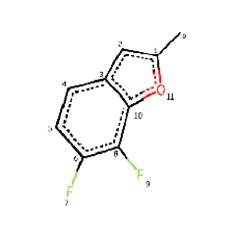 Cc1cc2ccc(F)c(F)c2o1